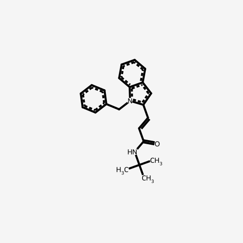 CC(C)(C)NC(=O)/C=C/c1cc2ccccc2n1Cc1ccccc1